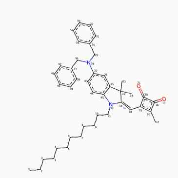 CCCCCCCCCCCCN1/C(=C/c2c(C)c(=O)c2=O)C(C)(C)c2cc(N(Cc3ccccc3)Cc3ccccc3)ccc21